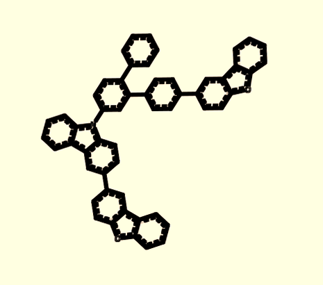 c1ccc(-c2ccc(-n3c4ccccc4c4cc(-c5ccc6oc7ccccc7c6c5)ccc43)cc2-c2ccc(-c3ccc4oc5ccccc5c4c3)cc2)cc1